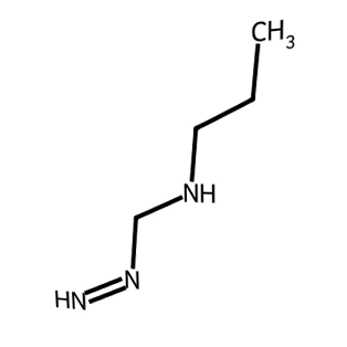 CCCNCN=N